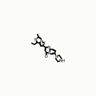 CCc1nc(C)cn2nc(-c3cc(=O)n4cc(N5CCNCC5)ccc4n3)cc12